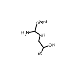 CCCCCC(N)NCC(O)CC